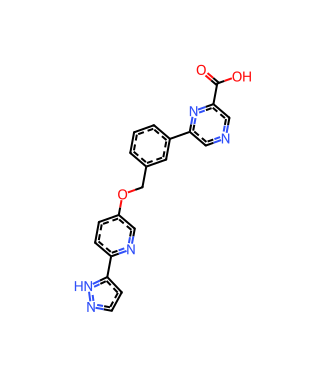 O=C(O)c1cncc(-c2cccc(COc3ccc(-c4ccn[nH]4)nc3)c2)n1